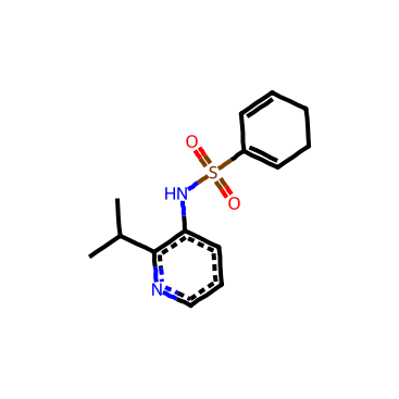 CC(C)c1ncccc1NS(=O)(=O)C1=CCCC=C1